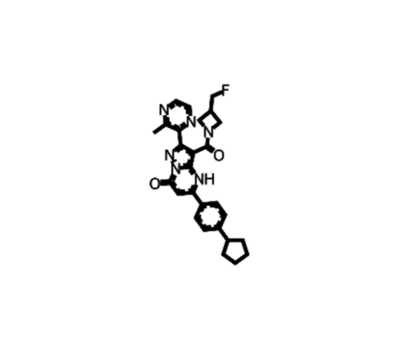 Cc1nccnc1-c1nn2c(=O)cc(-c3ccc(C4CCCC4)cc3)[nH]c2c1C(=O)N1CC(CF)C1